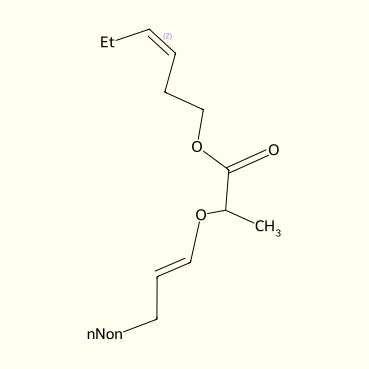 CC/C=C\CCOC(=O)C(C)OC=CCCCCCCCCCC